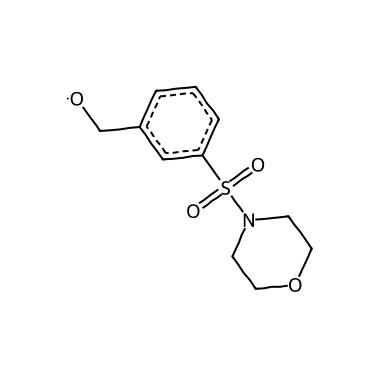 [O]Cc1cccc(S(=O)(=O)N2CCOCC2)c1